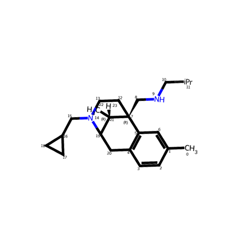 Cc1ccc2c(c1)[C@@]1(CNCC(C)C)CCN(CC3CC3)C(C2)[C@@H]1C